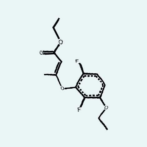 CCOC(=O)C=C(C)Oc1c(F)ccc(OCC)c1F